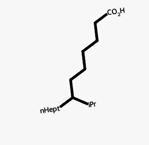 CCCCCCCC(CCCCCC(=O)O)C(C)C